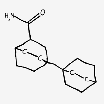 NC(=O)C1CC2(C34CCC(CC3)CC4)CC[C]1CC2